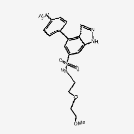 COCCOCCNS(=O)(=O)c1cc(-c2ccc(N)cc2)c2cn[nH]c2c1